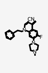 C=C1C(C#N)=CN(CCc2ccccc2)c2cc(N3CCN(C)CC3)c(F)cc21